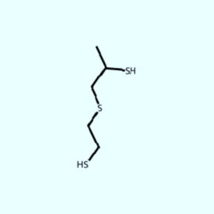 CC(S)CSCCS